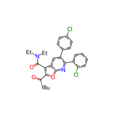 CCN(CC)C(=O)c1c(C(=O)C(C)(C)C)oc2nc(-c3ccccc3Cl)c(-c3ccc(Cl)cc3)cc12